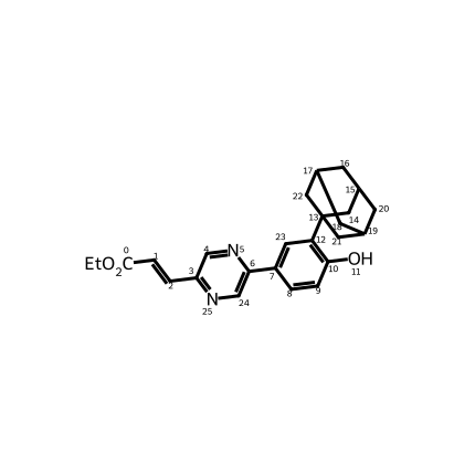 CCOC(=O)C=Cc1cnc(-c2ccc(O)c(C34CC5CC(CC(C5)C3)C4)c2)cn1